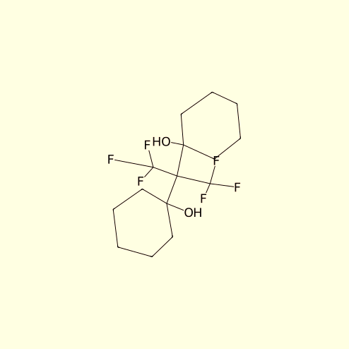 OC1(C(C(F)(F)F)(C(F)(F)F)C2(O)CCCCC2)CCCCC1